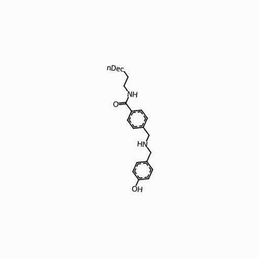 CCCCCCCCCCCCNC(=O)c1ccc(CNCc2ccc(O)cc2)cc1